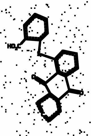 O=C(O)c1ccccc1Sc1cccc2c1C(=O)c1ccccc1C2=O